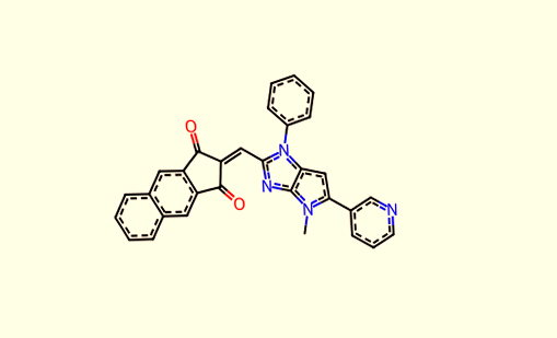 Cn1c(-c2cccnc2)cc2c1nc(C=C1C(=O)c3cc4ccccc4cc3C1=O)n2-c1ccccc1